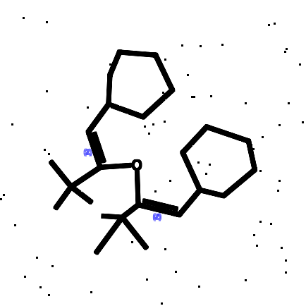 CC(C)(C)/C(=C/C1CCCCC1)O/C(=C\C1CCCCC1)C(C)(C)C